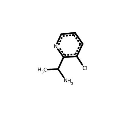 CC(N)c1ncccc1Cl